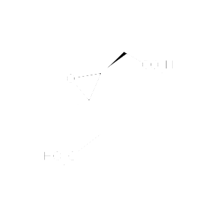 O=C(O)C[C@@H]1O[C@H]1CC(=O)O